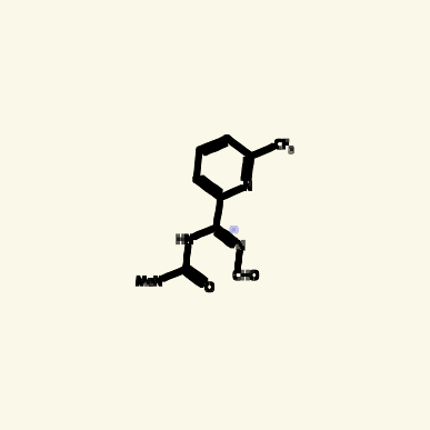 CNC(=O)N/C(=N\C=O)c1cccc(C(F)(F)F)n1